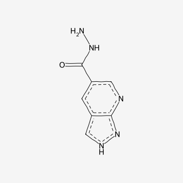 NNC(=O)c1cnc2n[nH]cc2c1